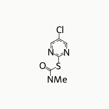 CNC(=O)Sc1ncc(Cl)cn1